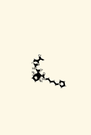 CC(=O)c1csc(NC(=O)[C@H]2[C@H](C(=O)NCCCCN3CCCC3)[C@H]3C=C[C@@H]2C32CC2)n1